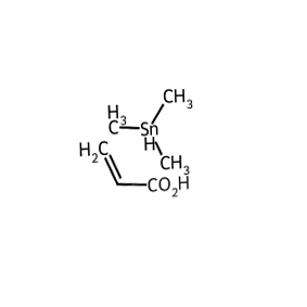 C=CC(=O)O.[CH3][SnH]([CH3])[CH3]